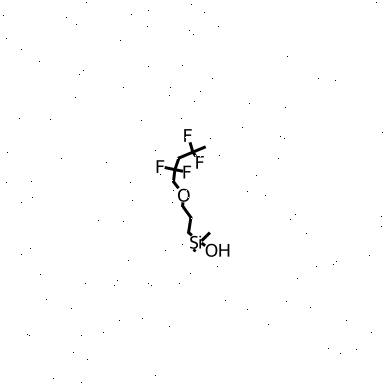 CC(F)(F)CC(F)(F)COCCC[Si](C)(C)O